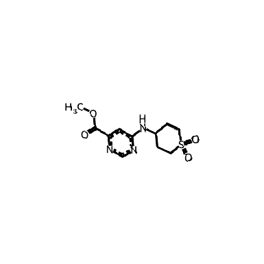 COC(=O)c1cc(NC2CCS(=O)(=O)CC2)ncn1